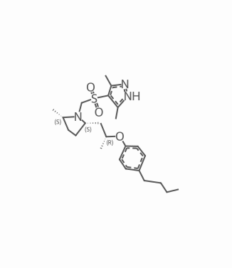 CCCCc1ccc(O[C@H](C)C[C@@H]2CC[C@H](C)N2CS(=O)(=O)c2c(C)n[nH]c2C)cc1